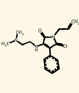 C=CCN1C(=O)C(NCCN(C)C)=C(c2ccccc2)C1=O